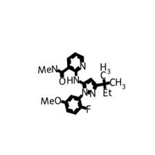 CCC(C)(C)c1cc(Nc2ncccc2C(=O)NC)n(-c2cc(OC)ccc2F)n1